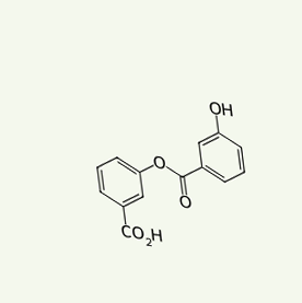 O=C(O)c1cccc(OC(=O)c2cccc(O)c2)c1